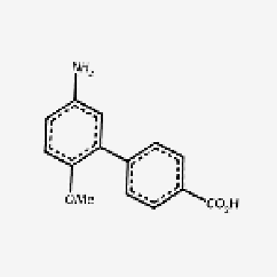 COc1ccc(N)cc1-c1ccc(C(=O)O)cc1